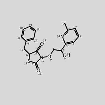 Cc1cccc(C(O)CON2C(=O)SC(Cc3ccccc3)C2=O)n1